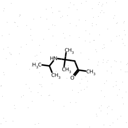 CC(=O)CC(C)(C)NC(C)C